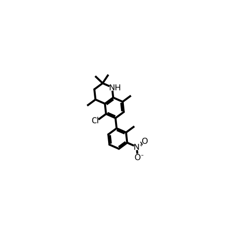 Cc1cc(-c2cccc([N+](=O)[O-])c2C)c(Cl)c2c1NC(C)(C)CC2C